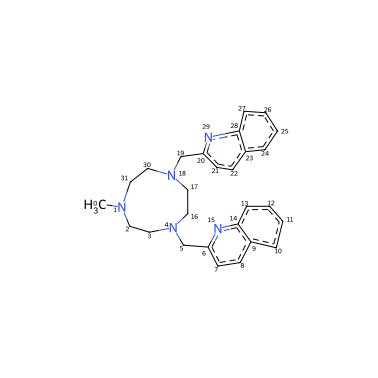 CN1CCN(Cc2ccc3ccccc3n2)CCN(Cc2ccc3ccccc3n2)CC1